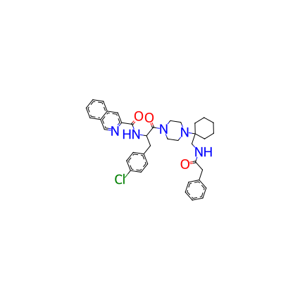 O=C(Cc1ccccc1)NCC1(N2CCN(C(=O)C(Cc3ccc(Cl)cc3)NC(=O)c3cc4ccccc4cn3)CC2)CCCCC1